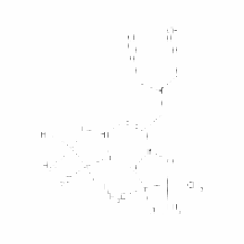 C#CCN(CC#C)C/C(=C/B1OC(C)(C)C(C)(C)O1)B1OC(C)(C)C(C)(C)O1